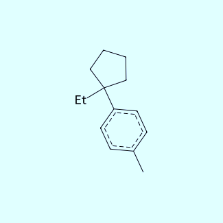 CCC1(c2ccc(C)cc2)CCCC1